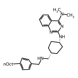 CCCCCCCCc1ccc(CNC[C@H]2CC[C@@H](Nc3nc(N(C)C)c4ccccc4n3)CC2)cc1